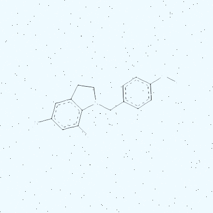 Nc1cc(Cl)c2c(c1)CCN2Cc1ccc(OC(F)(F)F)cc1